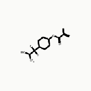 C=C(C)C(=O)OC1CCC(C(F)(F)C(O)C(F)(F)F)CC1